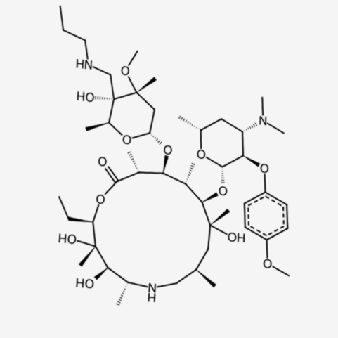 CCCNC[C@]1(O)[C@H](C)O[C@@H](O[C@H]2[C@H](C)[C@@H](O[C@@H]3O[C@H](C)C[C@H](N(C)C)[C@H]3Oc3ccc(OC)cc3)[C@](C)(O)C[C@@H](C)CN[C@H](C)[C@@H](O)[C@](C)(O)[C@@H](CC)OC(=O)[C@@H]2C)C[C@@]1(C)OC